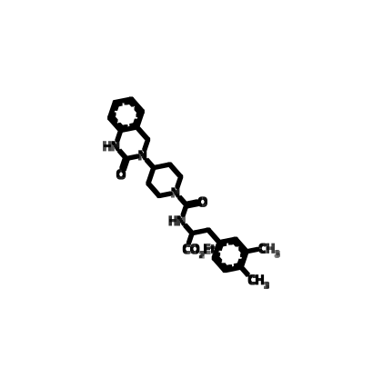 CCOC(=O)C(Cc1ccc(C)c(C)c1)NC(=O)N1CCC(N2Cc3ccccc3NC2=O)CC1